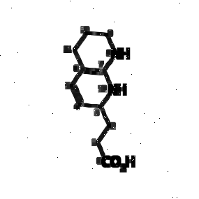 O=C(O)CCC1C=CC2=C(NCCC2)N1